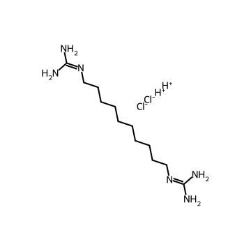 NC(N)=NCCCCCCCCCCN=C(N)N.[Cl-].[Cl-].[H+].[H+]